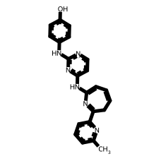 Cc1cccc(C2=NC(Nc3ccnc(Nc4ccc(O)cc4)n3)=CC=CC2)n1